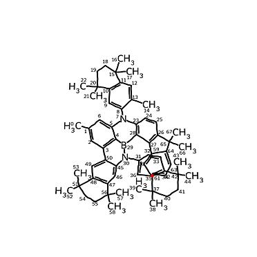 Cc1cc2c3c(c1)N(c1cc4c(cc1C)C(C)(C)CCC4(C)C)c1ccc4c(c1B3N(c1ccc3c(c1)C(C)(C)CCC3(C)C)c1cc3c(cc1-2)C(C)(C)CCC3(C)C)-c1ccccc1C4(C)C